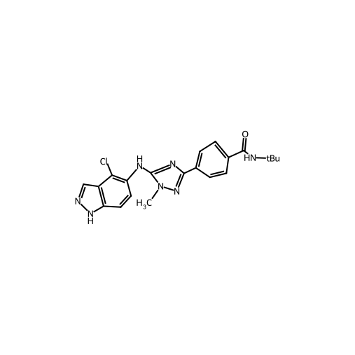 Cn1nc(-c2ccc(C(=O)NC(C)(C)C)cc2)nc1Nc1ccc2[nH]ncc2c1Cl